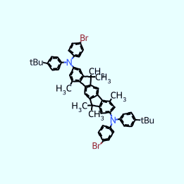 Cc1cc(N(c2ccc(Br)cc2)c2ccc(C(C)(C)C)cc2)cc2c1-c1cc3c(cc1C2(C)C)-c1c(C)cc(N(c2ccc(Br)cc2)c2ccc(C(C)(C)C)cc2)cc1C3(C)C